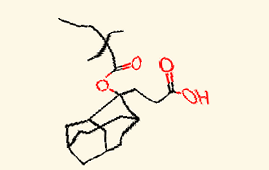 CCC(C)(C)C(=O)OC1(CCC(=O)O)C2CC3CC(C2)CC1C3